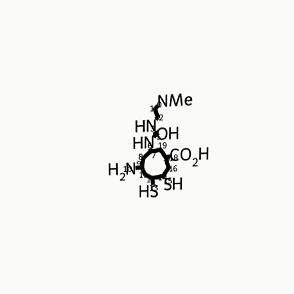 CNCCNC(O)NC1CC(N)CC(S)C(S)CC(C(=O)O)C1